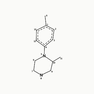 Cc1ccc(N2CC[N]CC2C)cc1